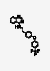 FC(F)(F)c1ccc(Oc2ccc(CCNc3ncnc4ccccc34)cc2)cc1